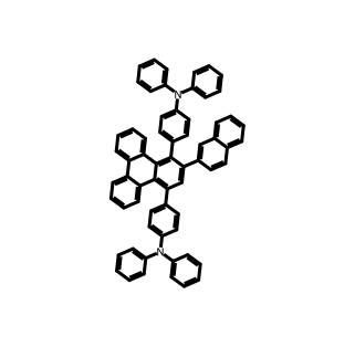 c1ccc(N(c2ccccc2)c2ccc(-c3cc(-c4ccc5ccccc5c4)c(-c4ccc(N(c5ccccc5)c5ccccc5)cc4)c4c5ccccc5c5ccccc5c34)cc2)cc1